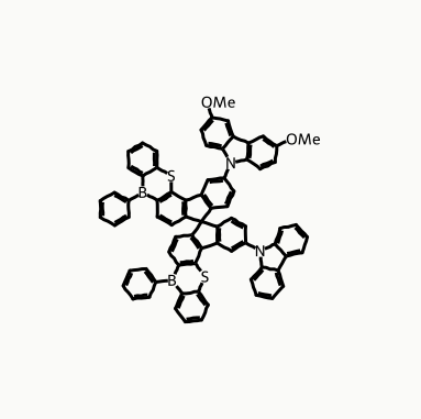 COc1ccc2c(c1)c1cc(OC)ccc1n2-c1ccc2c(c1)-c1c(ccc3c1Sc1ccccc1B3c1ccccc1)C21c2ccc(-n3c4ccccc4c4ccccc43)cc2-c2c1ccc1c2Sc2ccccc2B1c1ccccc1